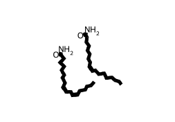 CCCCC/C=C\C/C=C\CCCCCCCC(N)=O.CCCCCCCC/C=C\CCCCCCCC(N)=O